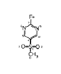 CS(=O)(=O)c1cnc(F)nc1